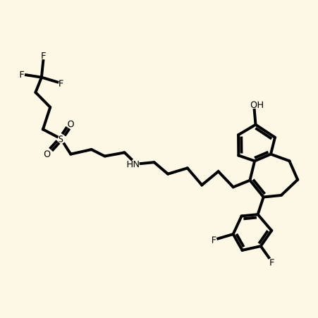 O=S(=O)(CCCCNCCCCCCC1=C(c2cc(F)cc(F)c2)CCCc2cc(O)ccc21)CCCC(F)(F)F